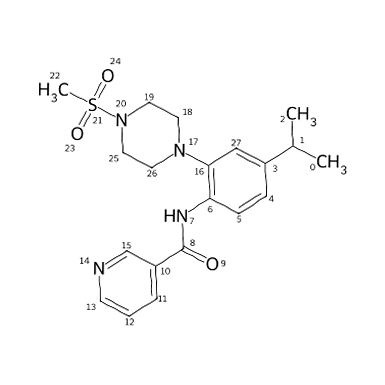 CC(C)c1ccc(NC(=O)c2cccnc2)c(N2CCN(S(C)(=O)=O)CC2)c1